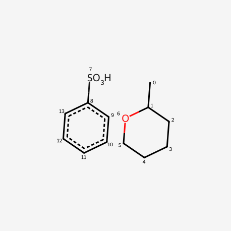 CC1CCCCO1.O=S(=O)(O)c1ccccc1